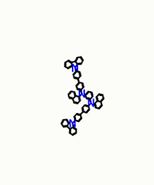 c1cc(N(c2ccc(-c3ccc(-n4c5ccccc5c5ccccc54)cc3)cc2)c2cccc3ccccc23)cc(N(c2ccc(-c3ccc(-n4c5ccccc5c5ccccc54)cc3)cc2)c2cccc3ccccc23)c1